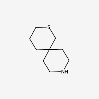 C1CSCC2(C1)CCNCC2